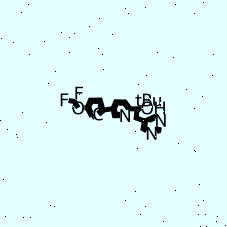 CC(C)(C)C(O)(Cc1cncnc1)c1ccc(-c2ccc(OC(F)F)cc2)cn1